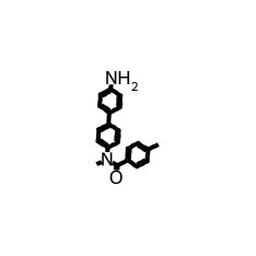 Cc1ccc(C(=O)N(C)c2ccc(-c3ccc(N)cc3)cc2)cc1